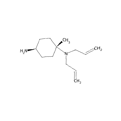 C=CCN(CC=C)[C@]1(C)CC[C@@H](N)CC1